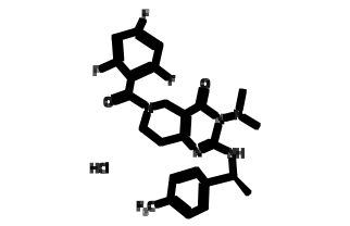 C[C@H](Nc1nc2c(c(=O)n1N(C)C)CN(C(=O)c1c(F)cc(F)cc1F)CC2)c1ccc(C(F)(F)F)cc1.Cl